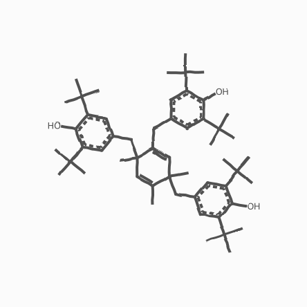 CC1=CC(C)(Cc2cc(C(C)(C)C)c(O)c(C(C)(C)C)c2)C(Cc2cc(C(C)(C)C)c(O)c(C(C)(C)C)c2)=CC1(C)Cc1cc(C(C)(C)C)c(O)c(C(C)(C)C)c1